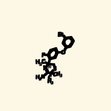 CCc1cccc(Oc2ccc(F)c([C@]3(C)CSC(C)(C)C(N)=N3)c2)c1